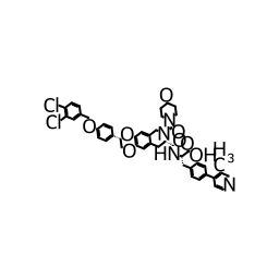 Cc1cnccc1-c1ccc(C[C@H](NC(=O)[C@@H]2Cc3cc4c(cc3CN2C(=O)N2CCC(=O)CC2)O[C@@H](c2ccc(OCc3ccc(Cl)c(Cl)c3)cc2)CO4)C(=O)O)cc1